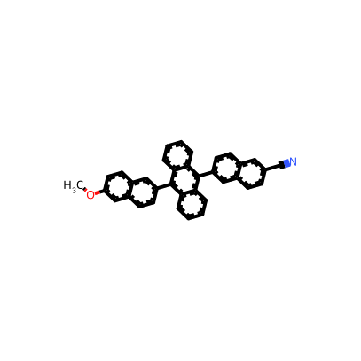 COc1ccc2cc(-c3c4ccccc4c(-c4ccc5cc(C#N)ccc5c4)c4ccccc34)ccc2c1